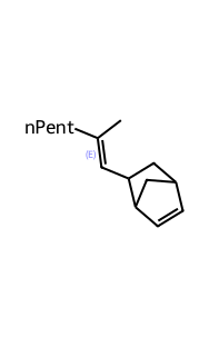 CCCCC/C(C)=C/C1CC2C=CC1C2